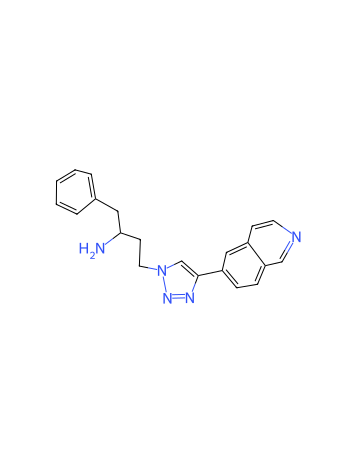 NC(CCn1cc(-c2ccc3cnccc3c2)nn1)Cc1ccccc1